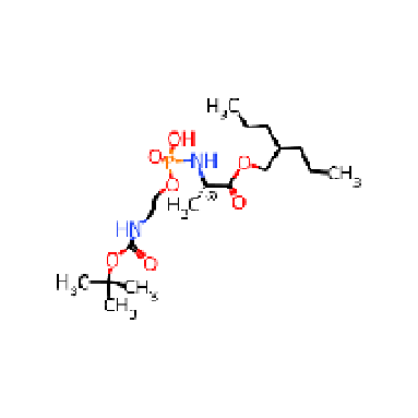 CCCC(CCC)COC(=O)[C@H](C)NP(=O)(O)OCCNC(=O)OC(C)(C)C